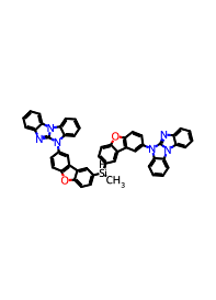 C[SiH](c1ccc2oc3ccc(-n4c5ccccc5n5c6ccccc6nc45)cc3c2c1)c1ccc2oc3ccc(-n4c5ccccc5n5c6ccccc6nc45)cc3c2c1